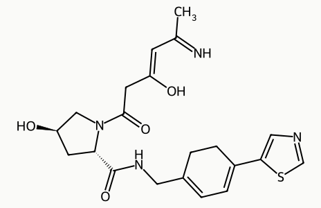 CC(=N)/C=C(\O)CC(=O)N1C[C@H](O)C[C@H]1C(=O)NCC1=CC=C(c2cncs2)CC1